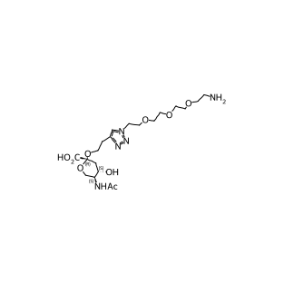 CC(=O)N[C@H]1CO[C@@](OCCc2cn(CCOCCOCCOCCN)nn2)(C(=O)O)C[C@@H]1O